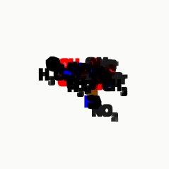 CC[C@H](C)[C@@H]([C@@H](CC(=O)N1CCC[C@H]1[C@H](OC)[C@@H](C)C(=O)N[C@H](C)[C@@H](O)c1ccccc1)OC)N(C)C(=O)[C@@H](NC(=O)[C@H](C(C)C)N(C)C(=O)OC[C@@H](C)SSc1ccc([N+](=O)[O-])cn1)C(C)C